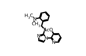 CC(=O)Oc1cccnc1-n1ccnc1SCc1ccccc1N(C)C